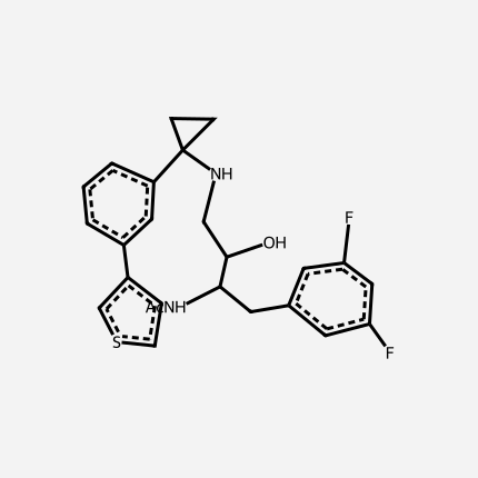 CC(=O)NC(Cc1cc(F)cc(F)c1)C(O)CNC1(c2cccc(-c3ccsc3)c2)CC1